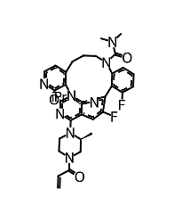 C=CC(=O)N1CCN(c2nc(=O)n3c4nc(c(F)cc24)-c2c(F)cccc2N(C(=O)N(C)C)CCCc2ccnc(C(C)C)c2-3)[C@@H](C)C1